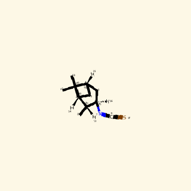 C[C@@H]1[C@H]2C[C@@H](C[C@H]1N=C=S)C2(C)C